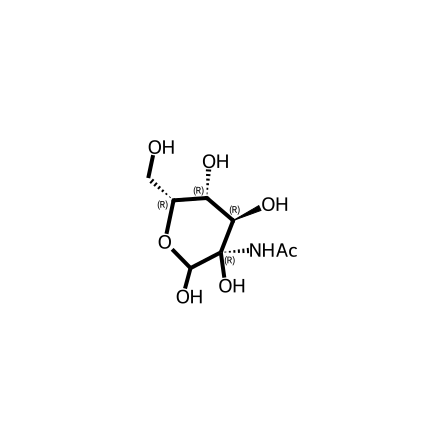 CC(=O)N[C@]1(O)C(O)O[C@H](CO)[C@H](O)[C@H]1O